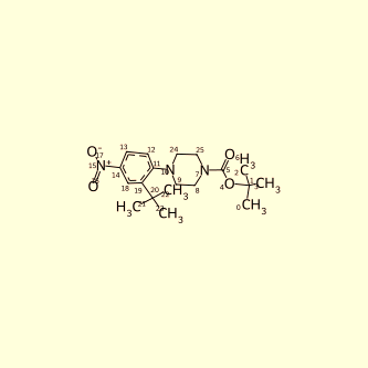 CC(C)(C)OC(=O)N1CCN(c2ccc([N+](=O)[O-])cc2C(C)(C)C)CC1